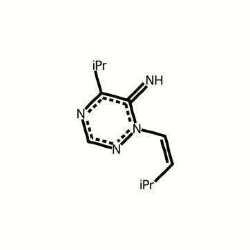 CC(C)/C=C\n1ncnc(C(C)C)c1=N